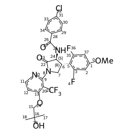 COc1cc(F)c([C@@H]2CN(c3nccc(OCC(C)(C)O)c3C(F)(F)F)C(=O)[C@H]2NC(=O)c2ccc(Cl)cc2)c(F)c1